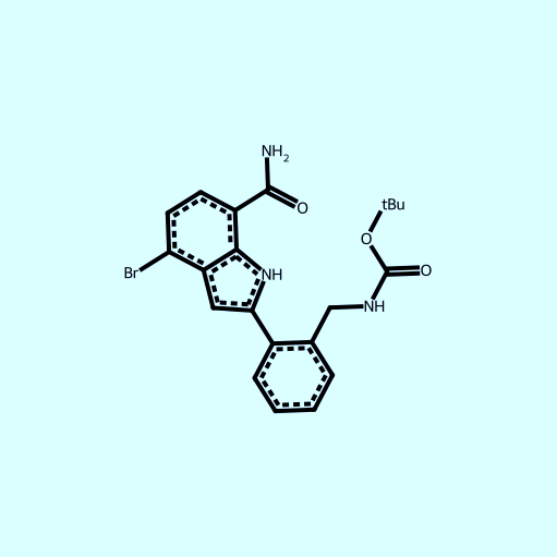 CC(C)(C)OC(=O)NCc1ccccc1-c1cc2c(Br)ccc(C(N)=O)c2[nH]1